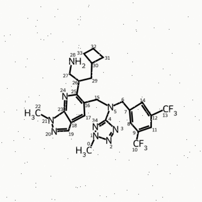 Cn1nnc(N(Cc2cc(C(F)(F)F)cc(C(F)(F)F)c2)Cc2cc3cnn(C)c3nc2C(CN)CC2CCC2)n1